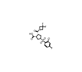 O=C(O)[C@@H]1C[C@H](S(=O)(=O)c2ccc(F)cc2Cl)C[C@H]1C(=O)N1CC(F)(F)C1